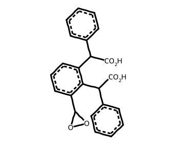 O=C(O)C(c1ccccc1)c1cccc(C2OO2)c1C(C(=O)O)c1ccccc1